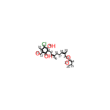 CC(=CCc1c(O)c(Cl)c(C)c(C=O)c1O)CCC=C(C)COC1CCCO1